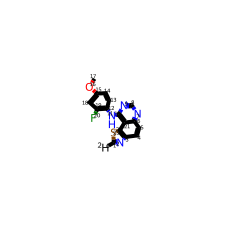 [2H]c1nc2ccc3ncnc(Nc4ccc(OC)cc4F)c3c2s1